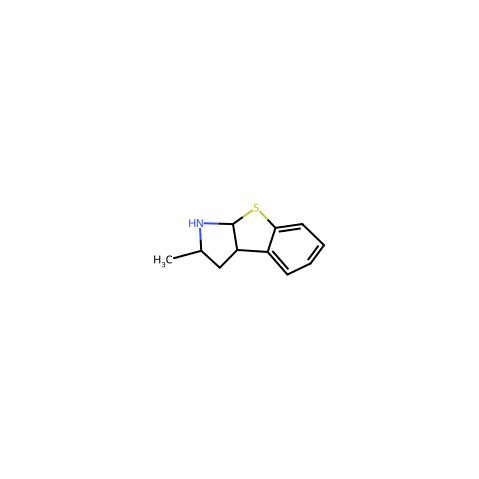 CC1CC2c3ccccc3SC2N1